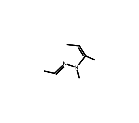 C/C=C(/C)N(C)/N=C/C